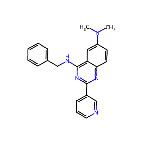 CN(C)c1ccc2nc(-c3cccnc3)nc(NCc3ccccc3)c2c1